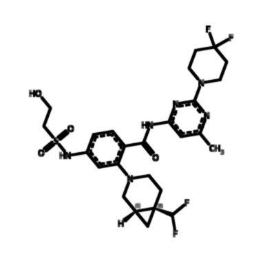 Cc1cc(NC(=O)c2ccc(NS(=O)(=O)CCO)cc2N2CC[C@]3(C(F)F)C[C@@H]3C2)nc(N2CCC(F)(F)CC2)n1